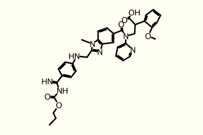 CCCOC(=O)NC(=N)c1ccc(NCc2nc3cc(C(=O)N(CC(C(=O)O)c4ccccc4OC)c4ccccn4)ccc3n2C)cc1